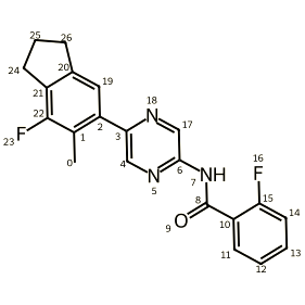 Cc1c(-c2cnc(NC(=O)c3ccccc3F)cn2)cc2c(c1F)CCC2